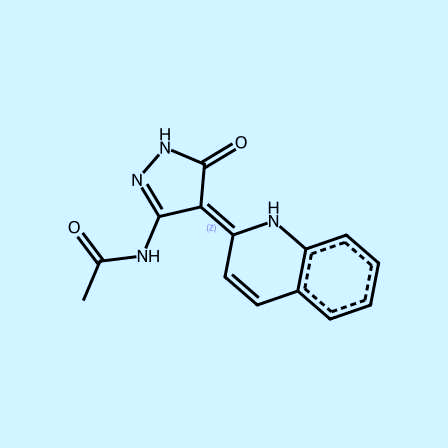 CC(=O)NC1=NNC(=O)/C1=C1/C=Cc2ccccc2N1